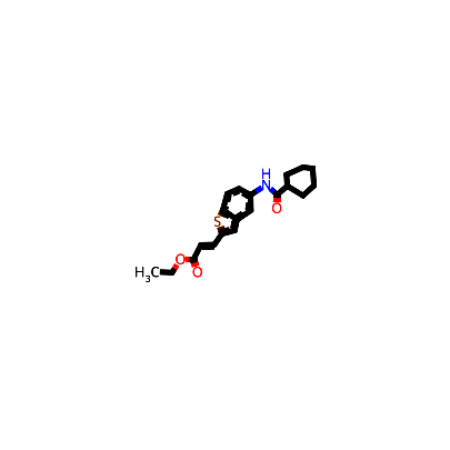 CCOC(=O)/C=C/c1cc2cc(NC(=O)C3CCCCC3)ccc2s1